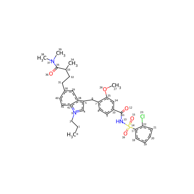 CCCn1cc(Cc2ccc(C(=O)NS(=O)(=O)c3ccccc3Cl)cc2OC)c2cc(CCC(C)C(=O)N(C)C)ccc21